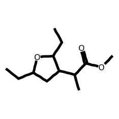 CCC1CC(C(C)C(=O)OC)C(CC)O1